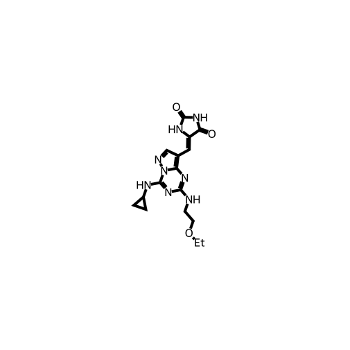 CCOCCNc1nc(NC2CC2)n2ncc(/C=C3\NC(=O)NC3=O)c2n1